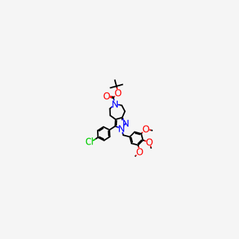 COc1cc(Cn2nc3c(c2-c2ccc(Cl)cc2)CCN(C(=O)OC(C)(C)C)CC3)cc(OC)c1OC